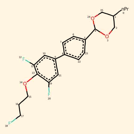 CCCC1COC(c2ccc(-c3cc(F)c(OCCCF)c(F)c3)cc2)OC1